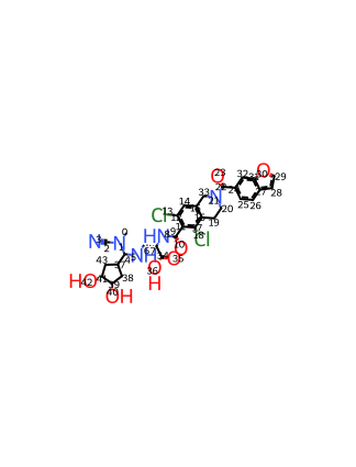 CN(C#N)C(NC[C@H](NC(=O)c1c(Cl)cc2c(c1Cl)CCN(C(=O)c1ccc3ccoc3c1)C2)C(=O)O)C1C[C@@H](O)[C@H](O)C1